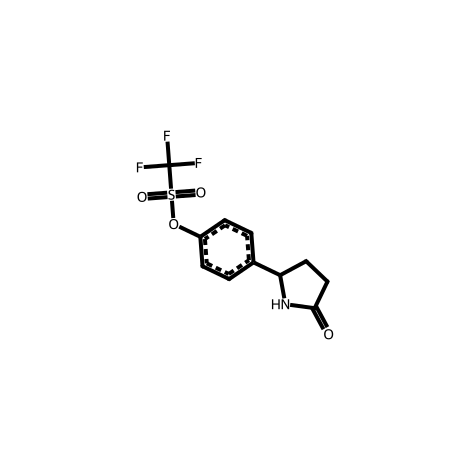 O=C1CCC(c2ccc(OS(=O)(=O)C(F)(F)F)cc2)N1